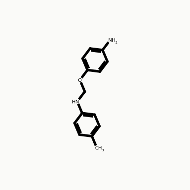 Cc1ccc(NCOc2ccc(N)cc2)cc1